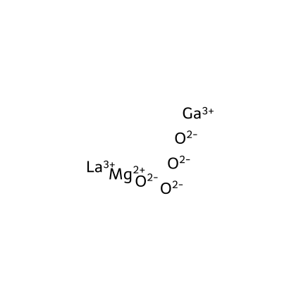 [Ga+3].[La+3].[Mg+2].[O-2].[O-2].[O-2].[O-2]